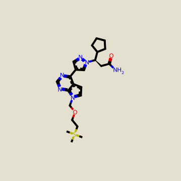 CS(C)(C)CCOCn1ccc2c(-c3cnn([C@H](CC(N)=O)C4CCCC4)c3)ncnc21